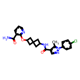 Cc1c(C(=O)NC2CC3(C2)CC(Oc2ncccc2C(N)=O)C3)cnn1-c1ccc(Cl)cc1